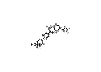 CC[PH]1(O)CCN(c2ccc(C(=O)Nc3cc(-c4cccs4)ccc3N)cn2)CC1